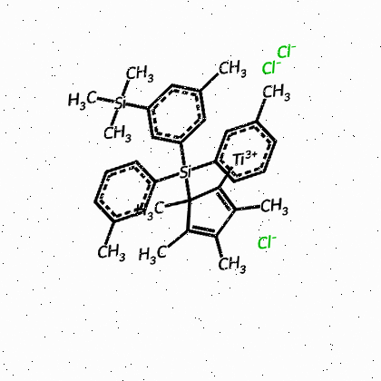 CC1=C(C)C(C)([Si](c2cccc(C)c2)(c2cccc(C)c2)c2cc(C)cc([Si](C)(C)C)c2)[C]([Ti+3])=C1C.[Cl-].[Cl-].[Cl-]